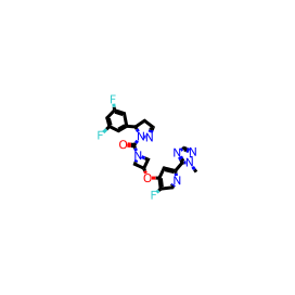 Cn1ncnc1-c1cc(OC2CN(C(=O)N3N=CCC3c3cc(F)cc(F)c3)C2)c(F)cn1